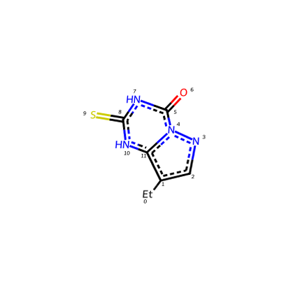 CCc1cnn2c(=O)[nH]c(=S)[nH]c12